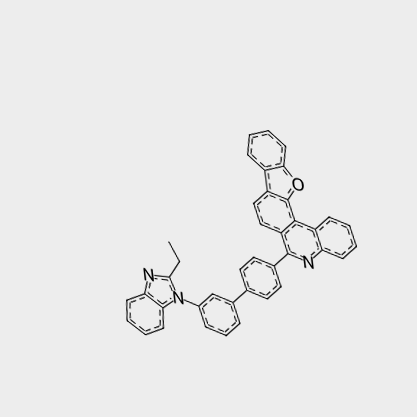 CCc1nc2ccccc2n1-c1cccc(-c2ccc(-c3nc4ccccc4c4c3ccc3c5ccccc5oc34)cc2)c1